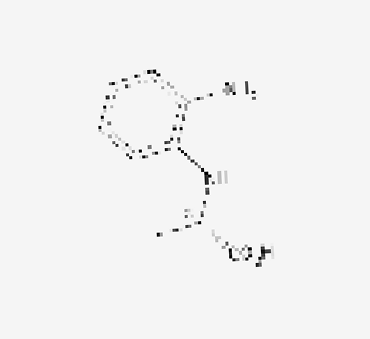 C[C@H](Nc1ccccc1N)C(=O)O